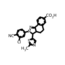 Cc1ncc(C2C3CCc4cc(C(=O)O)ccc4C3=NN2c2ccc(C#N)c(Cl)c2)s1